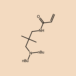 C=CC(=O)NCC(C)(C)CN(CCCC)CCCC